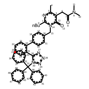 CCCCc1nc(C)c(CC(=O)N(C)C)c(=O)n1Cc1ccc(-c2ccccc2-c2nnnn2C(c2ccccc2)(c2ccccc2)c2ccccc2)cc1